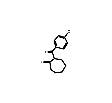 O=C1CCCCCC1C(=O)c1ccc(Cl)cc1